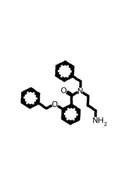 NCCCN(Cc1ccccc1)C(=O)c1ccccc1OCc1ccccc1